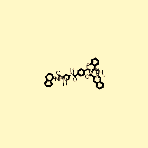 C[C@H](c1ccccc1F)N(Cc1ccc(C(=O)N[C@@H]2CN[C@H](C(=O)N[C@@H]3CCCc4ccccc43)C2)cc1)C(=O)C1Cc2ccccc2CN1